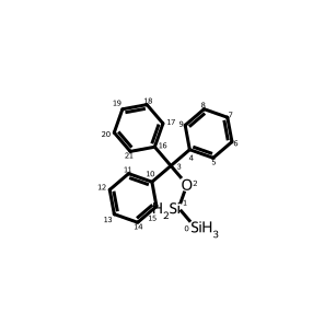 [SiH3][SiH2]OC(c1ccccc1)(c1ccccc1)c1ccccc1